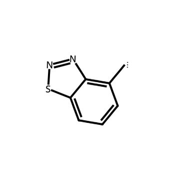 [C]c1cccc2snnc12